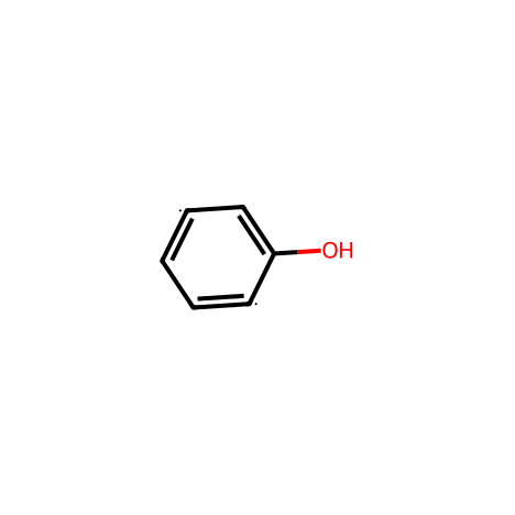 Oc1[c]cc[c]c1